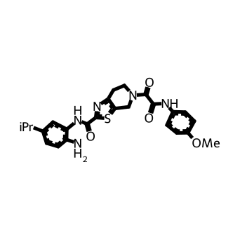 COc1ccc(NC(=O)C(=O)N2CCc3nc(C(=O)Nc4cc(C(C)C)ccc4N)sc3C2)cc1